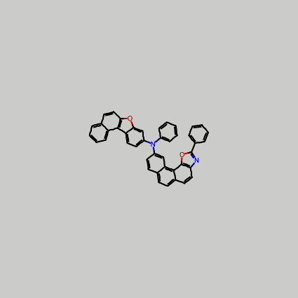 c1ccc(-c2nc3ccc4ccc5ccc(N(c6ccccc6)c6ccc7c(c6)oc6ccc8ccccc8c67)cc5c4c3o2)cc1